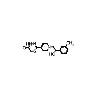 Cc1cccc(C(O)CN2CC=C(C3=NNC(=O)CS3)CC2)c1